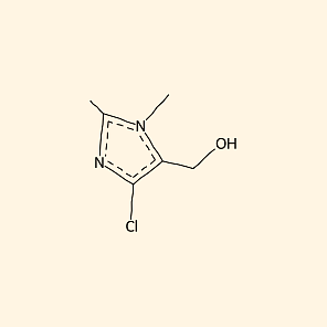 Cc1nc(Cl)c(CO)n1C